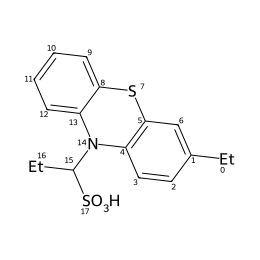 CCc1ccc2c(c1)Sc1ccccc1N2C(CC)S(=O)(=O)O